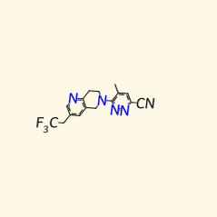 Cc1cc(C#N)nnc1N1CCc2ncc(CC(F)(F)F)cc2C1